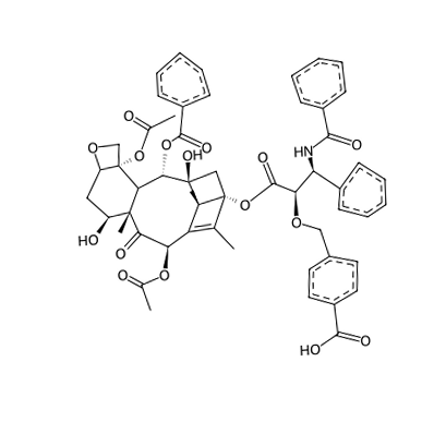 CC(=O)O[C@H]1C(=O)[C@@]2(C)C([C@H](OC(=O)c3ccccc3)[C@]3(O)C[C@@]4(OC(=O)[C@H](OCc5ccc(C(=O)O)cc5)[C@@H](NC(=O)c5ccccc5)c5ccccc5)C(C)=C1[C@]34C)[C@]1(OC(C)=O)COC1C[C@@H]2O